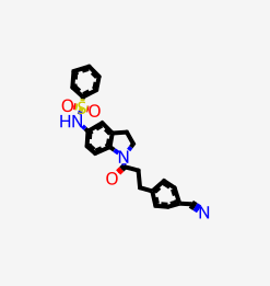 N#Cc1ccc(CCC(=O)N2CCc3cc(NS(=O)(=O)c4ccccc4)ccc32)cc1